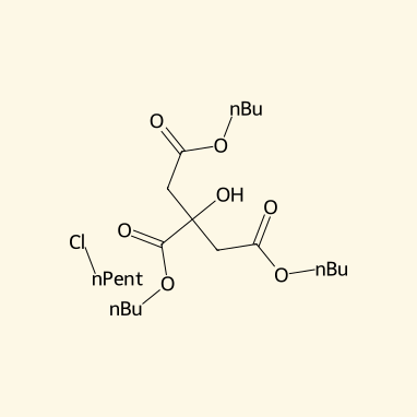 CCCCCCl.CCCCOC(=O)CC(O)(CC(=O)OCCCC)C(=O)OCCCC